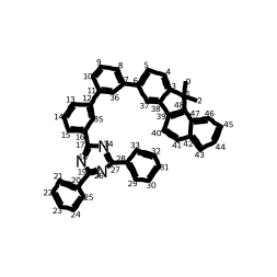 CC1(C)c2ccc(-c3cccc(-c4cccc(-c5nc(-c6ccccc6)nc(-c6ccccc6)n5)c4)c3)cc2-c2ccc3ccccc3c21